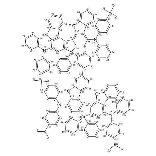 CC(C)c1ccc(N(c2ccccc2)c2cc3c(c4c2oc2cc(-c5cccc(C6(c7ccccc7)c7cc(N(c8ccccc8)c8ccc(C(C)(C)C)cc8)c8c(oc9ccccc98)c7-c7c6cc(N(c6ccccc6)c6ccc(C(C)(C)C)cc6)c6oc8ccccc8c76)c5)ccc24)-c2c(cc(N(c4ccccc4)c4ccc(C(C)C)cc4)c4c2oc2ccccc24)C3(c2ccccc2)c2ccccc2)cc1